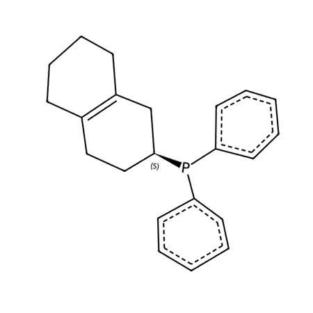 c1ccc(P(c2ccccc2)[C@H]2CCC3=C(CCCC3)C2)cc1